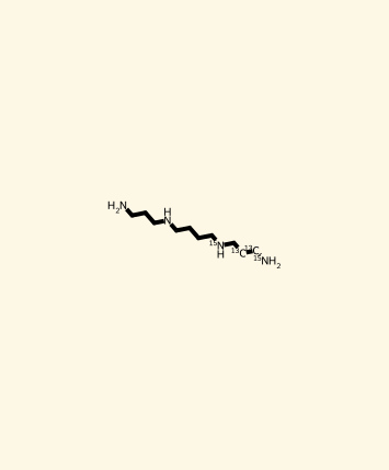 NCCCNCCCC[15NH]C[13CH2][13CH2][15NH2]